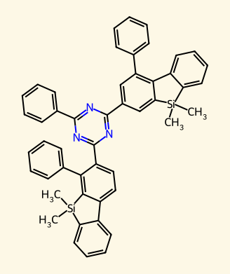 C[Si]1(C)c2ccccc2-c2c(-c3ccccc3)cc(-c3nc(-c4ccccc4)nc(-c4ccc5c(c4-c4ccccc4)[Si](C)(C)c4ccccc4-5)n3)cc21